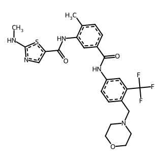 CNc1ncc(C(=O)Nc2cc(C(=O)Nc3ccc(CN4CCOCC4)c(C(F)(F)F)c3)ccc2C)s1